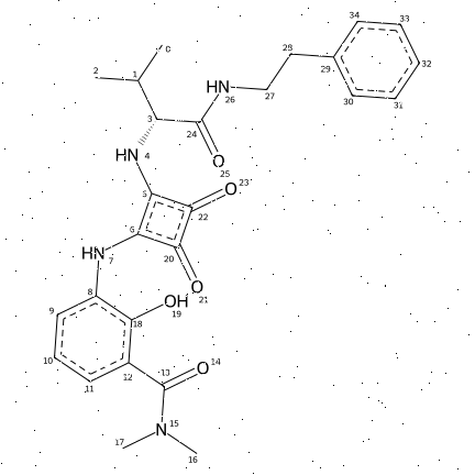 CC(C)[C@@H](Nc1c(Nc2cccc(C(=O)N(C)C)c2O)c(=O)c1=O)C(=O)NCCc1ccccc1